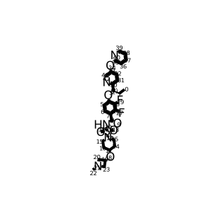 CC[C@@H](Oc1ccc(C(=O)NS(=O)(=O)N2CCC(OC3CN(C)C3)CC2)c(F)c1F)c1ccc(Oc2ccccn2)cn1